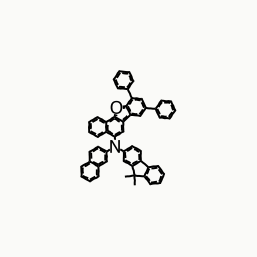 CC1(C)c2ccccc2-c2ccc(N(c3ccc4ccccc4c3)c3cc4c5cc(-c6ccccc6)cc(-c6ccccc6)c5oc4c4ccccc34)cc21